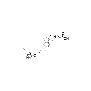 CCCc1ncc(OCCCOc2ccc3c(c2)OCC32CCN(CCC(=O)O)CC2)s1